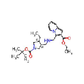 CCOC(=O)c1cc2ccccn2c1CNC[C@H]1CN(C(=O)OC(C)(C)C)C[C@H]1CC